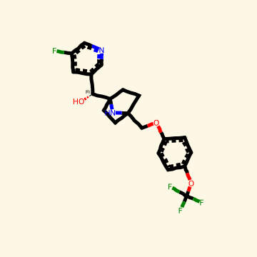 O[C@H](c1cncc(F)c1)C12CCC(COc3ccc(OC(F)(F)F)cc3)(CC1)N2